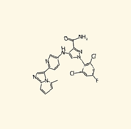 Cc1cccc2ncc(-c3ccc(Nc4cn(-c5c(Cl)cc(F)cc5Cl)nc4C(N)=O)cn3)n12